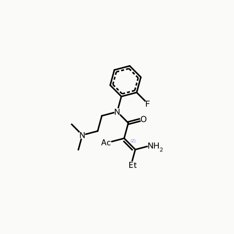 CC/C(N)=C(\C(C)=O)C(=O)N(CCN(C)C)c1ccccc1F